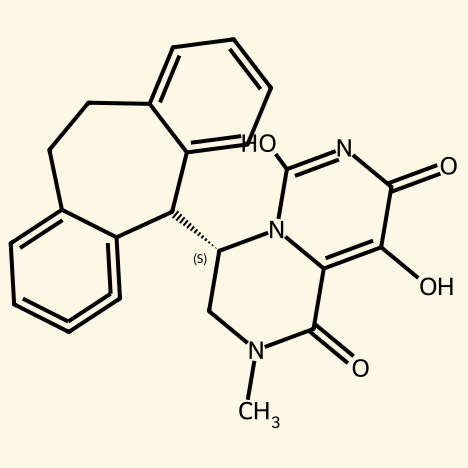 CN1C[C@H](C2C3=C=C=CC=C3CCc3ccccc32)n2c(O)nc(=O)c(O)c2C1=O